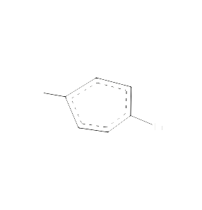 Fc1c[c]c(Br)cc1